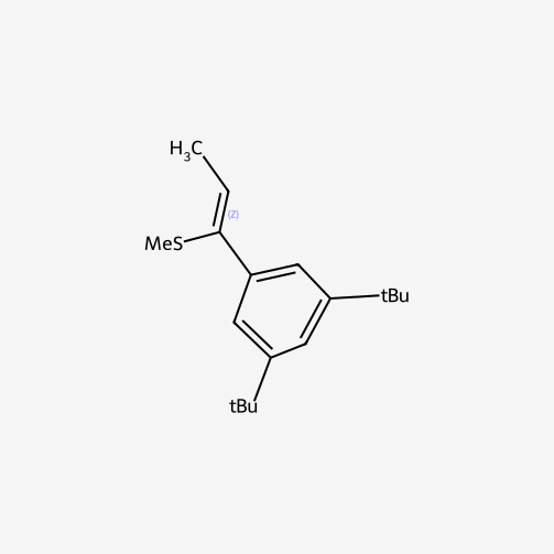 C/C=C(\SC)c1cc(C(C)(C)C)cc(C(C)(C)C)c1